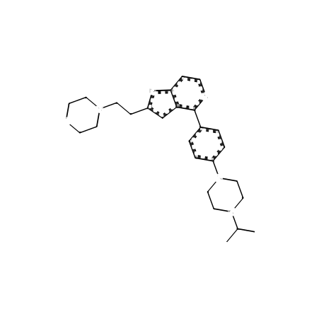 CC(C)N1CCN(c2ccc(-c3nccc4[nH]c(CCN5CCOCC5)cc34)cc2)CC1